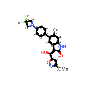 COc1cc(C(O)=C2C(=O)Nc3cc(Cl)c(-c4ccc(N5CC(F)(F)C5)cc4)cc32)on1